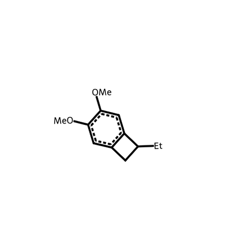 CCC1Cc2cc(OC)c(OC)cc21